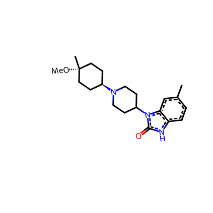 CO[C@]1(C)CC[C@@H](N2CCC(n3c(=O)[nH]c4ccc(C)cc43)CC2)CC1